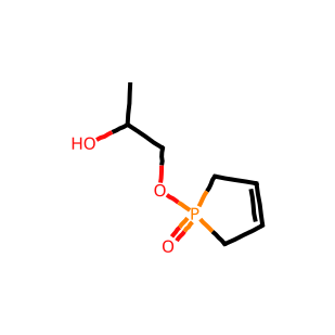 CC(O)COP1(=O)CC=CC1